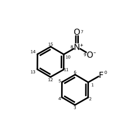 Fc1ccccc1.O=[N+]([O-])c1ccccc1